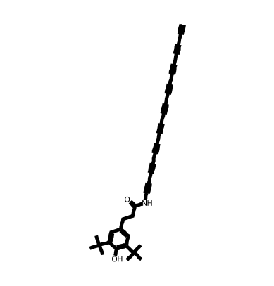 C#CC#CC#CC#CC#CC#CC#CC#CC#CNC(=O)CCc1cc(C(C)(C)C)c(O)c(C(C)(C)C)c1